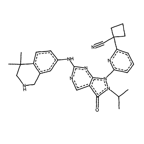 CC(C)n1c(=O)c2cnc(Nc3ccc4c(c3)CNCC4(C)C)nc2n1-c1cccc(C2(C#N)CCC2)n1